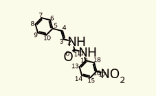 O=C(NC=Cc1ccccc1)Nc1cccc([N+](=O)[O-])c1